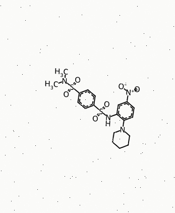 CN(C)S(=O)(=O)c1ccc(S(=O)(=O)Nc2cc([N+](=O)[O-])ccc2N2CCCCC2)cc1